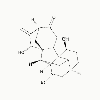 C=C1[C@@H]2C[C@]3(C(CC2=O)C24C5C[C@@H]3[C@@H]2N(CC)C[C@]5(C)CC[C@@H]4O)[C@@H]1O